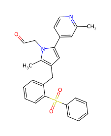 Cc1cc(-c2cc(Cc3ccccc3S(=O)(=O)c3ccccc3)c(C)n2CC=O)ccn1